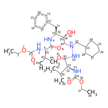 CCOC(=O)N[C@H](C(=O)N[C@@H](Cc1ccccc1)[C@@H](O)CN(CC1CCCCC1)NC(=O)[C@@H](NC(=O)OCC)C(C)C)C(C)C